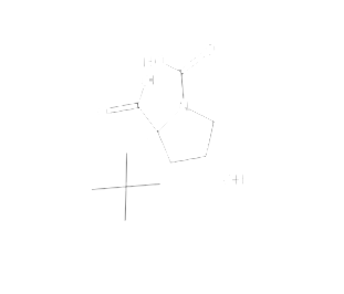 CC(C)(C)C[C@@]1(C(=O)O)C[C@@H](O)CN1C(=O)O